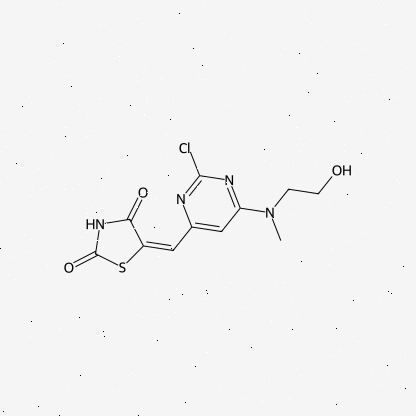 CN(CCO)c1cc(C=C2SC(=O)NC2=O)nc(Cl)n1